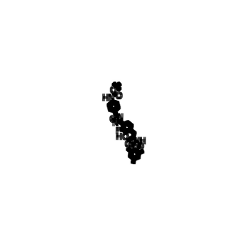 Cc1cc(C)c(S(=O)(=O)NC(Cc2ccc(-c3noc(-c4ccc(NC(=O)OC(C)(C)C)cc4)n3)c(F)c2)C(=O)O)c(C)c1